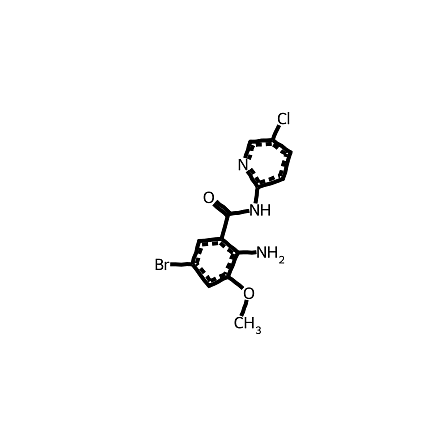 COc1cc(Br)cc(C(=O)Nc2ccc(Cl)cn2)c1N